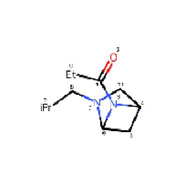 CCC(=O)N1C2CC1N(CC(C)C)C2